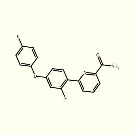 NC(=O)c1cccc(-c2ccc(Oc3ccc(F)cc3)cc2F)n1